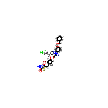 Cl.Cn1c(COc2ccc(CC3SC(=O)NC3=O)cc2)nc2ccc(OCc3ccccc3)cc21